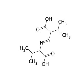 CC(C)C(/N=N/C(C(=O)O)C(C)C)C(=O)O